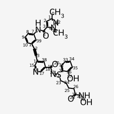 Cc1cc(C(=O)Nc2cccc(C#Cc3cncc(C(=O)N=S(CCCCC(=O)NO)c4ccccc4O)c3)c2)n(C)n1